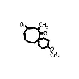 C=C1/C=C(Br)\C=C/CCC2(CCC(OC)CC2)C1=O